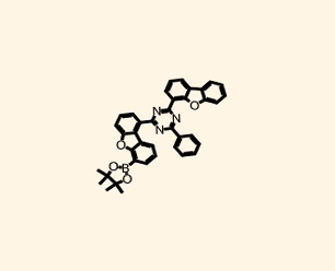 CC1(C)OB(c2cccc3c2oc2cccc(-c4nc(-c5ccccc5)nc(-c5cccc6c5oc5ccccc56)n4)c23)OC1(C)C